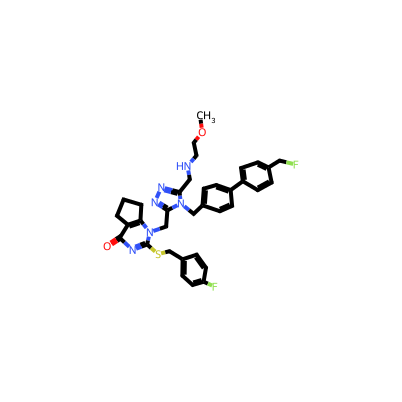 COCCNCc1nnc(Cn2c(SCc3ccc(F)cc3)nc(=O)c3c2CCC3)n1Cc1ccc(-c2ccc(CF)cc2)cc1